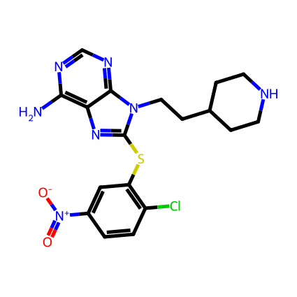 Nc1ncnc2c1nc(Sc1cc([N+](=O)[O-])ccc1Cl)n2CCC1CCNCC1